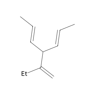 C=C(CC)C(C=CC)C=CC